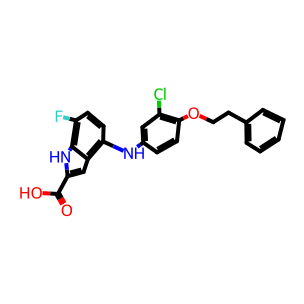 O=C(O)c1cc2c(Nc3ccc(OCCc4ccccc4)c(Cl)c3)ccc(F)c2[nH]1